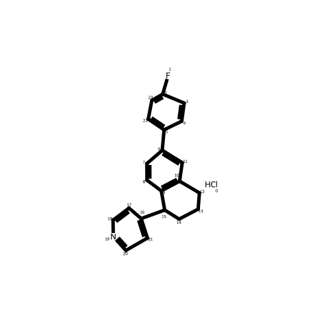 Cl.Fc1ccc(-c2ccc3c(c2)CCCC3c2ccncc2)cc1